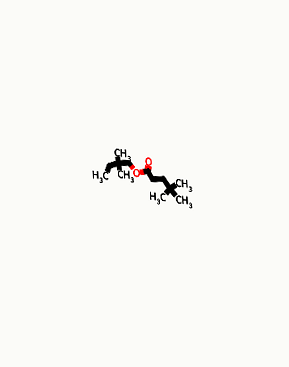 CCC(C)(C)COC(=O)CCC(C)(C)C